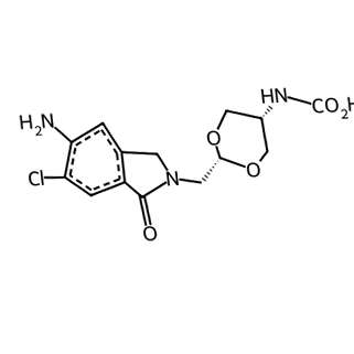 Nc1cc2c(cc1Cl)C(=O)N(C[C@H]1OC[C@@H](NC(=O)O)CO1)C2